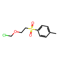 Cc1ccc(S(=O)(=O)CCOCCl)cc1